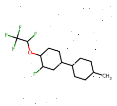 CC1CCC(C2CCC(OC(F)C(F)(F)F)C(F)C2)CC1